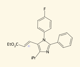 CCOC(=O)/C=C/c1c(C(C)C)nc(-c2ccccc2)n1-c1ccc(F)cc1